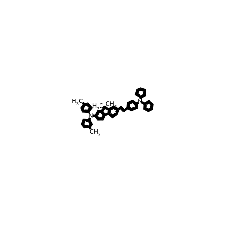 Cc1ccc(N(c2cccc(C)c2)c2ccc3c(c2)C(C)(C)c2cc(/C=C/c4ccc(N(c5ccccc5)c5ccccc5)cc4)ccc2-3)cc1